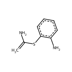 C=C(N)Sc1ccccc1N